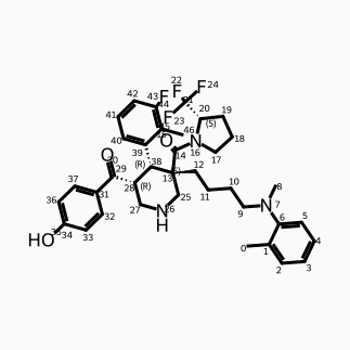 Cc1ccccc1N(C)CCCC[C@@]1(C(=O)N2CCC[C@H]2C(F)(F)F)CNC[C@H](C(=O)c2ccc(O)cc2)[C@@H]1c1cccc(F)c1C